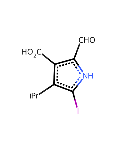 CC(C)c1c(I)[nH]c(C=O)c1C(=O)O